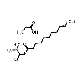 CCC(=O)O.CCCCCCCCC=CCCCCCCCC(=O)NC(CC)N(C)C